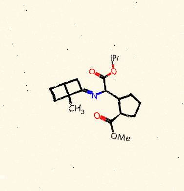 COC(=O)[C@@H]1CCCC1C(/N=C1\CC2CCC12C)C(=O)OC(C)C